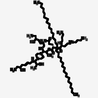 CCCCCCCCCCCCCCCCCC[N+](CCCCCCCCCCCCCCCCCC)(C(=O)[C@H](CCCNCCCN)NCCCN)[C@@H](CCC(N)=O)C(=O)OC(C)C(NCC=CCC(O)CN)N1CCN(C(NCC=CCC(O)CN)C(C)O)CC1